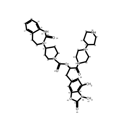 Cc1cc(CC(OC(=O)N2CCC(N3CCc4ccccc4NC3=O)CC2)C(=O)N2CCN(C3CCNCC3)CC2)cc2oc(=O)n(C)c12